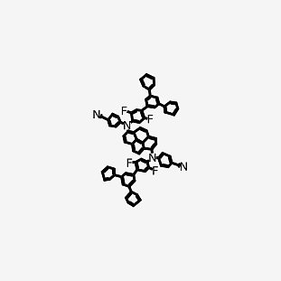 N#Cc1ccc(N(c2cc(F)c(-c3cc(-c4ccccc4)cc(-c4ccccc4)c3)cc2F)c2ccc3ccc4c(N(c5ccc(C#N)cc5)c5cc(F)c(-c6cc(-c7ccccc7)cc(-c7ccccc7)c6)cc5F)ccc5ccc2c3c54)cc1